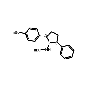 CCCCNP1[C@H](c2ccccc2)CC[C@H]1c1ccc(CCCC)cc1